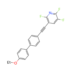 CCOc1ccc(-c2ccc(C#Cc3cc(F)c(F)nc3F)cc2)cc1